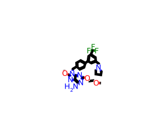 COCCOc1nc(N)c2nc(OC)n(Cc3ccc(-c4cc(CN5CCCC5)cc(C(F)(F)F)c4)cc3)c2n1